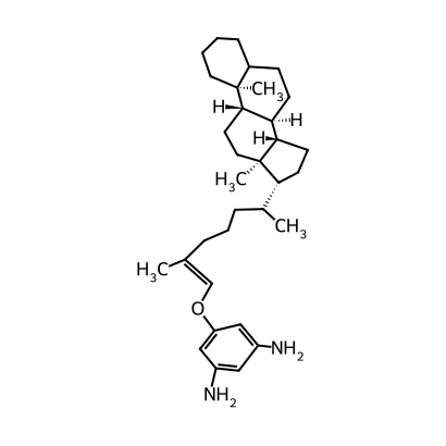 CC(=COc1cc(N)cc(N)c1)CCCC(C)[C@H]1CC[C@H]2[C@@H]3CCC4CCCC[C@]4(C)[C@H]3CC[C@]12C